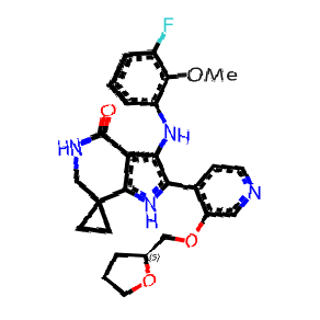 COc1c(F)cccc1Nc1c(-c2ccncc2OC[C@@H]2CCCO2)[nH]c2c1C(=O)NCC21CC1